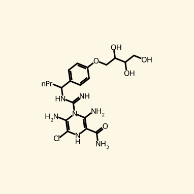 CCCC(NC(=N)N1C(N)=C(Cl)NC(C(N)=O)=C1N)c1ccc(OCC(O)C(O)CO)cc1